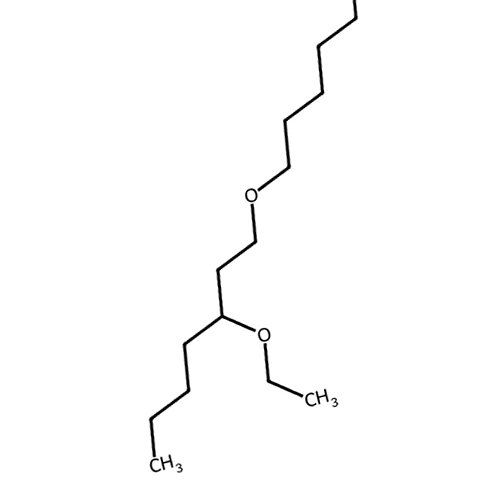 [CH2]CCCCCOCCC(CCCC)OCC